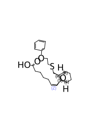 O=C(O)CCCC/C=C\[C@H]1[C@@H](CSCCOc2ccccc2)[C@H]2CC[C@@H]1O2